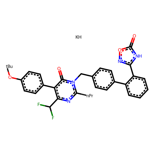 CCCc1nc(C(F)F)c(-c2ccc(OC(C)(C)C)cc2)c(=O)n1Cc1ccc(-c2ccccc2-c2noc(=O)[nH]2)cc1.[KH]